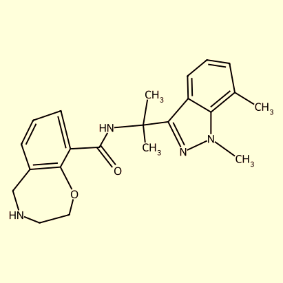 Cc1cccc2c(C(C)(C)NC(=O)c3cccc4c3OCCNC4)nn(C)c12